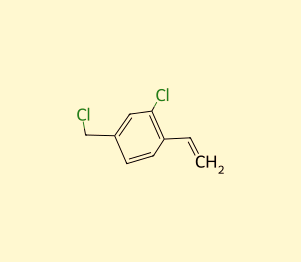 C=Cc1ccc(CCl)cc1Cl